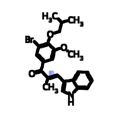 COc1cc(C(=O)/C(C)=C/c2c[nH]c3ccccc23)cc(Br)c1OCC(C)C